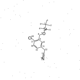 CC(C)(C)[Si](C)(C)OCc1cc(CC#N)ccc1Cl